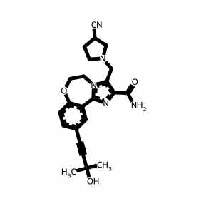 CC(C)(O)C#Cc1ccc2c(c1)-c1nc(C(N)=O)c(CN3CCC(C#N)C3)n1CCO2